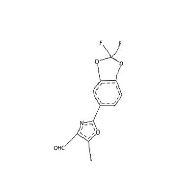 Cc1oc(-c2ccc3c(c2)OC(F)(F)O3)nc1C=O